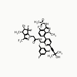 CC[C@@H]1[C@H](C)c2c(C(F)(F)F)nn(CC(=O)N[C@@H](Cc3cc(F)cc(F)c3)c3nc(C#CC(C)(C)O)ccc3-c3ccc(F)c4c(NS(C)(=O)=O)nn(C)c34)c2C1(F)F